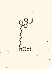 CCCCCCCCCCCCCCCC(=O)OC(=O)CI